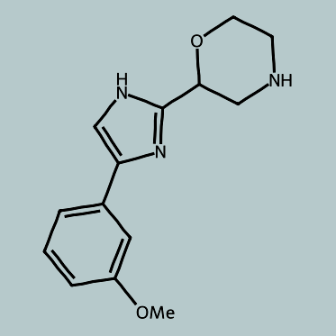 COc1cccc(-c2c[nH]c(C3CNCCO3)n2)c1